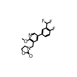 COc1ncc(-c2ccc(F)c(C(F)F)c2)cc1CN1CCOC1=O